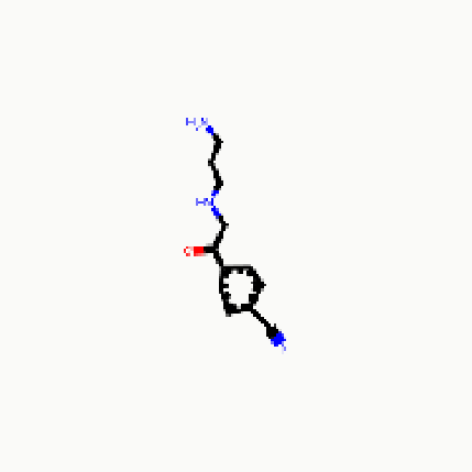 N#Cc1ccc(C(=O)CNCCCN)cc1